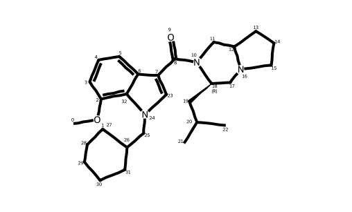 COc1cccc2c(C(=O)N3CC4CCCN4C[C@H]3CC(C)C)cn(CC3CCCCC3)c12